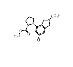 CC(C)(C)OC(=O)N1CCC[C@H]1c1cc(Cl)cc2c1CN(C(=O)O)C2